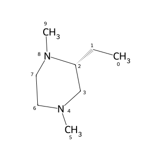 CC[C@@H]1CN(C)CCN1C